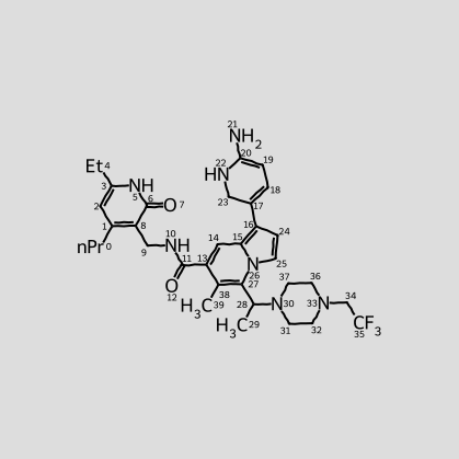 CCCc1cc(CC)[nH]c(=O)c1CNC(=O)c1cc2c(C3=CC=C(N)NC3)ccn2c(C(C)N2CCN(CC(F)(F)F)CC2)c1C